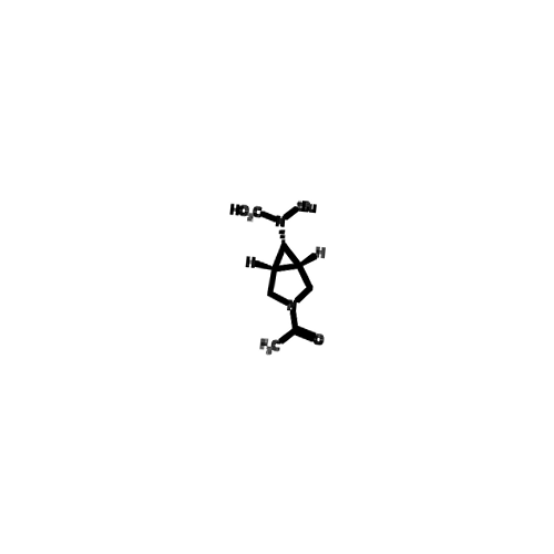 CC(C)(C)N(C(=O)O)[C@@H]1[C@@H]2CN(C(=O)C(F)(F)F)C[C@@H]21